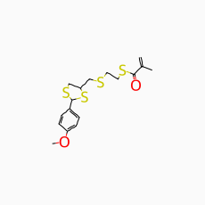 C=C(C)C(=O)SCCSCC1CSC(c2ccc(OC)cc2)S1